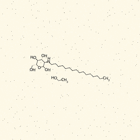 CCCCCCCCCCCCCCCCN[C@H]1C(O)O[C@H](CO)[C@@H](O)[C@@H]1O.CCO